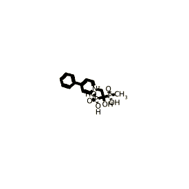 CP(=O)(O)C(O)(C[n+]1ccc(-c2ccccc2)cc1)P(=O)(O)O